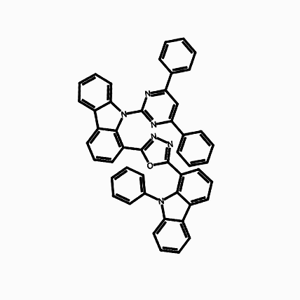 c1ccc(-c2cc(-c3ccccc3)nc(-n3c4ccccc4c4cccc(-c5nnc(-c6cccc7c8ccccc8n(-c8ccccc8)c67)o5)c43)n2)cc1